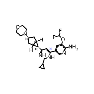 N=C(/C=C(\NCC1CC1)c1cnc(N)c(OC(F)F)c1)[C@H]1[C@@H]2C[C@H](N3CCOCC3)C[C@@H]21